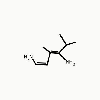 CC(/C=C\N)=C(/N)C(C)C